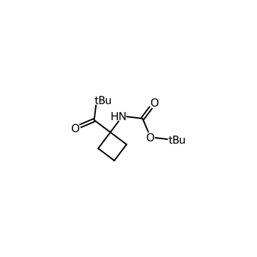 CC(C)(C)OC(=O)NC1(C(=O)C(C)(C)C)CCC1